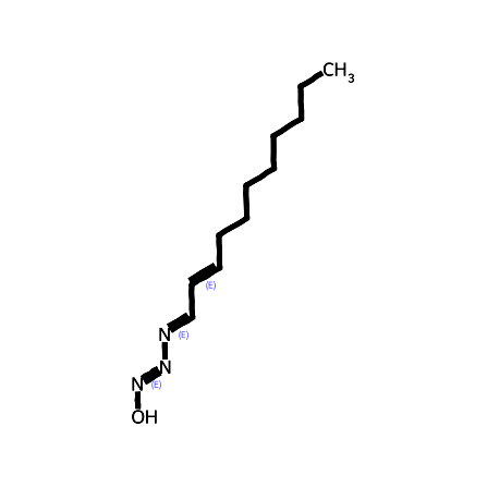 CCCCCCCC/C=C/C=N/N=N/O